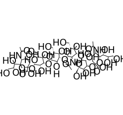 CC(=O)N[C@H]1[C@H](O[C@H]2[C@@H](O)[C@@H](CO)O[C@@H](O[C@@H]([C@H](O)[C@@H](O)C=O)[C@H](O)CO[C@]3(C(=O)O)C[C@H](O)[C@@H](NC(C)=O)[C@H]([C@H](O)[C@H](O)CO)O3)[C@@H]2O)O[C@H](CO)[C@@H](O)[C@@H]1O[C@@H]1O[C@H](CO)[C@H](O)[C@H](O[C@]2(C(=O)O)C[C@H](O)[C@@H](NC(C)=O)[C@H]([C@H](O)[C@H](O)CO)O2)[C@H]1O